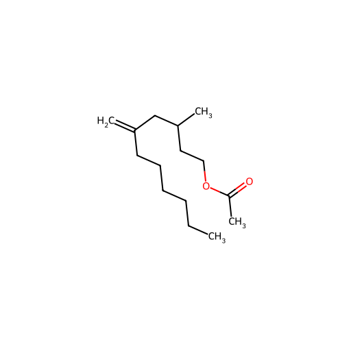 C=C(CCCCCC)CC(C)CCOC(C)=O